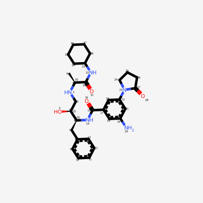 C[C@H](NC[C@H](O)[C@H](Cc1ccccc1)NC(=O)c1cc(N)cc(N2CCCC2=O)c1)C(=O)NC1CCCCC1